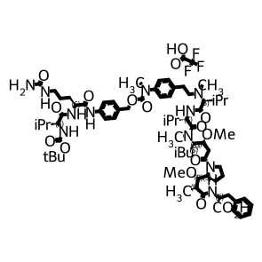 CC[C@H](C)[C@@H]([C@@H](CC(=O)N1CCC[C@H]1[C@H](OC)[C@@H](C)C(=O)N[C@@H](Cc1ccccc1)C(=O)O)OC)N(C)C(=O)[C@@H](NC(=O)[C@H](C(C)C)N(C)CCc1ccc(N(C)C(=O)OCc2ccc(NC(=O)[C@H](CCCNC(N)=O)NC(=O)[C@@H](NC(=O)OC(C)(C)C)C(C)C)cc2)cc1)C(C)C.O=C(O)C(F)(F)F